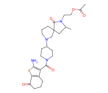 CC(=O)OCCN1C(=O)C2(CCCN(C3CCN(C(=O)c4c(N)sc5c4CCCC5=O)CC3)C2)CC1C